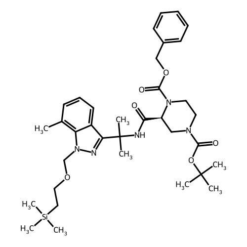 Cc1cccc2c(C(C)(C)NC(=O)[C@@H]3CN(C(=O)OC(C)(C)C)CCN3C(=O)OCc3ccccc3)nn(COCC[Si](C)(C)C)c12